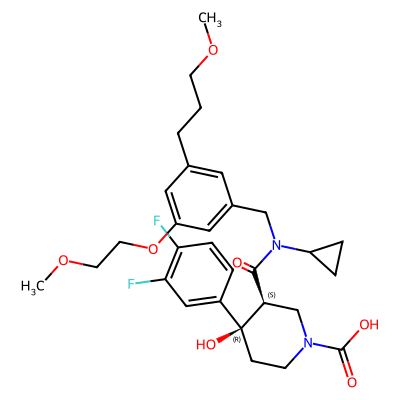 COCCCc1cc(CN(C(=O)[C@H]2CN(C(=O)O)CC[C@]2(O)c2ccc(F)c(F)c2)C2CC2)cc(OCCOC)c1